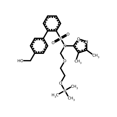 Cc1noc(N(COCCO[Si](C)(C)C)S(=O)(=O)c2ccccc2-c2ccc(CO)cc2)c1C